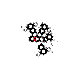 Cc1cc2c3c(c1)N(c1ccc4c(c1)C(C)(C)CCC4(C)C)c1sc4c(c1B3c1cc3c(cc1N2c1cc2c(cc1-c1ccccc1)C(C)(C)CCC2(C)C)C(C)(C)CCC3(C)C)C(C)(C)CCC4(C)C